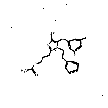 CC(C)c1nc(CCCOC(N)=O)n(CCc2ccccc2)c1Sc1cc(F)cc(F)c1